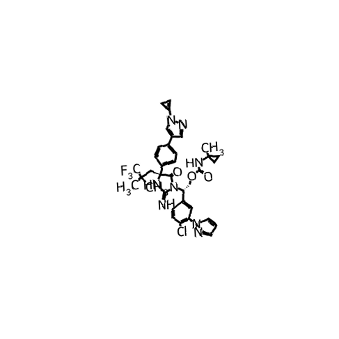 CC1(NC(=O)OC[C@H](c2ccc(Cl)c(-n3cccn3)c2)N2C(=N)N[C@](CC(C)(C)C(F)(F)F)(c3ccc(-c4cnn(C5=CC5)c4)cc3)C2=O)CC1